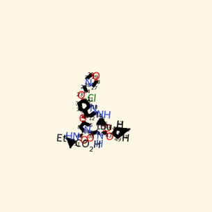 CC[C@@H]1C[C@]1(NC(=O)[C@@H]1C[C@@H](Oc2cc(NC3CC3)nc3c(Cl)c(OCCN4CCOCC4)ccc23)CN1C(=O)[C@@H](NC(=O)O[C@@H]1C[C@@H]2C[C@@H]2C1)C(C)(C)C)C(=O)O